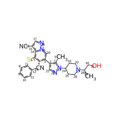 Cc1c(-c2cc(Sc3ccccc3C#N)c3c(C#N)cnn3c2)cnn1C1CCN([C@H](C)CO)CC1